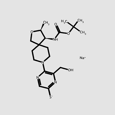 C[C@@H]1OCC2(CCN(c3ncc([S-])nc3CO)CC2)[C@@H]1NC(=O)OC(C)(C)C.[Na+]